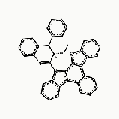 CC[C@@H]1C(n2c3ccccc3c3c4ccccc4c4c5ccccc5sc4c32)=Nc2ccccc2C1c1ccccc1